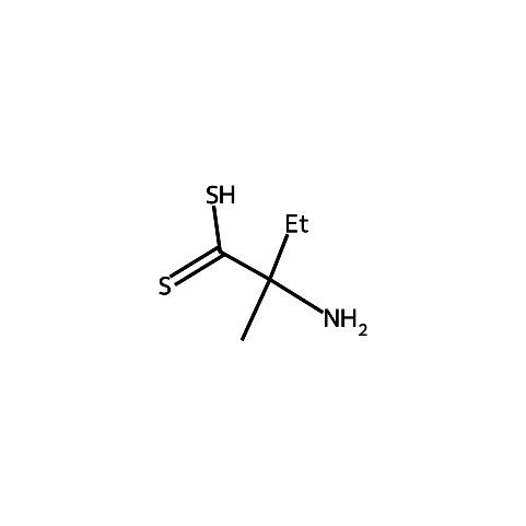 CCC(C)(N)C(=S)S